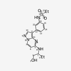 CCC(CO)Nc1ccn2ncc(-c3cccc(NS(=O)(=O)CC)c3)c2n1